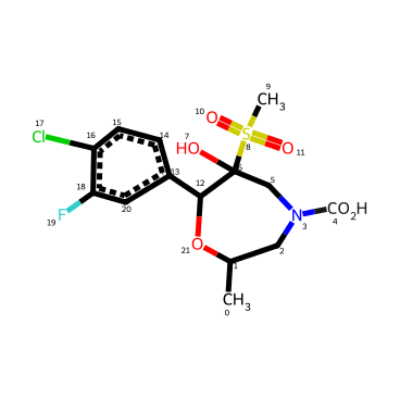 CC1CN(C(=O)O)CC(O)(S(C)(=O)=O)C(c2ccc(Cl)c(F)c2)O1